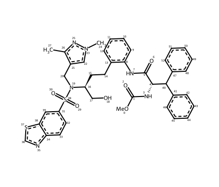 COC(=O)N[C@H](C(=O)Nc1ccccc1CC[C@@H](CO)N(Cc1cn(C)nc1C)S(=O)(=O)c1ccc2ncsc2c1)C(c1ccccc1)c1ccccc1